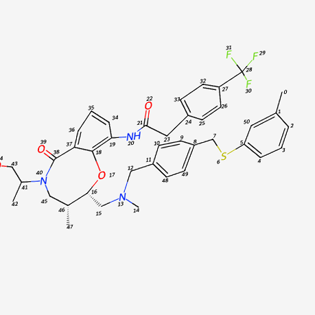 Cc1cccc(SCc2ccc(CN(C)C[C@H]3Oc4c(NC(=O)Cc5ccc(C(F)(F)F)cc5)cccc4C(=O)N(C(C)CO)C[C@H]3C)cc2)c1